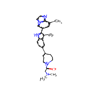 Cc1cc(-c2[nH]c3ccc(C4CCN(C(=O)CN(C)C)CC4)cc3c2C(C)C)cn2ccnc12